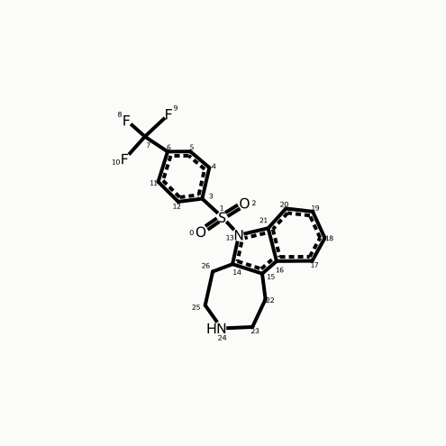 O=S(=O)(c1ccc(C(F)(F)F)cc1)n1c2c(c3ccccc31)CCNCC2